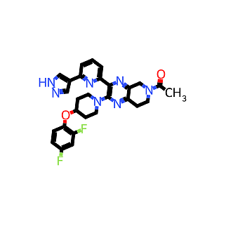 CC(=O)N1CCc2nc(N3CCC(Oc4ccc(F)cc4F)CC3)c(-c3cccc(-c4cn[nH]c4)n3)nc2C1